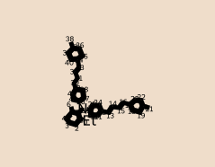 CCc1cccc(C)c1N(c1ccc(/C=C/C=C/c2ccc(C)cc2)cc1)c1ccc(CC/C=C/c2ccc(C)cc2)cc1